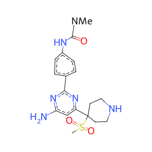 CNC(=O)Nc1ccc(-c2nc(N)cc(C3(S(C)(=O)=O)CCNCC3)n2)cc1